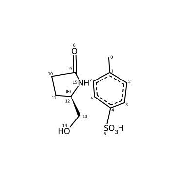 Cc1ccc(S(=O)(=O)O)cc1.O=C1CC[C@H](CO)N1